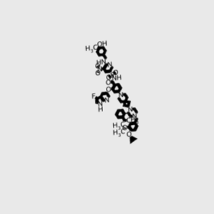 COc1cc(CN2CCN(C3CC4(CCN(c5ccc(C(=O)NS(=O)(=O)c6cnc(NCC7CCC(C)(O)CC7)c([N+](=O)[O-])c6)c(Oc6cnc7[nH]cc(F)c7c6)c5)CC4)C3)[C@H](c3ccccc3C(C)C)C2)ccc1OC1CC1